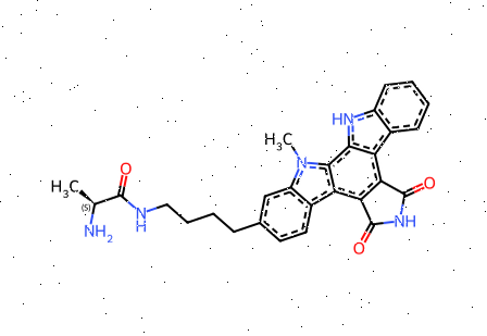 C[C@H](N)C(=O)NCCCCc1ccc2c3c4c(c5c6ccccc6[nH]c5c3n(C)c2c1)C(=O)NC4=O